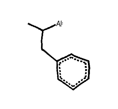 C[CH]([Al])Cc1ccccc1